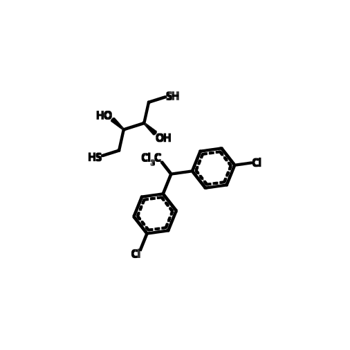 Clc1ccc(C(c2ccc(Cl)cc2)C(Cl)(Cl)Cl)cc1.O[C@H](CS)[C@H](O)CS